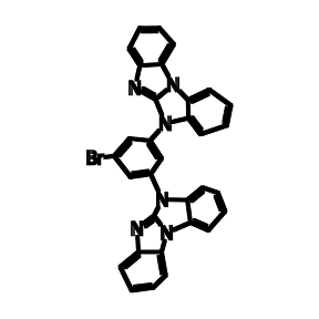 Brc1cc(-n2c3ccccc3n3c4ccccc4nc23)cc(-n2c3ccccc3n3c4ccccc4nc23)c1